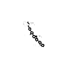 Cc1cc(-c2ccc3c(c2)C(C)(C)c2cc(-c4ccc5c(c4)C(C)(C)c4ccccc4-5)ccc2-3)c(C)cc1-c1ccc(BOC(C)(C)C(C)(C)O)cc1